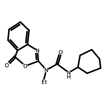 CCN(C(=O)NC1CCCCC1)c1nc2ccccc2c(=O)o1